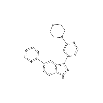 c1ccc(-c2ccc3[nH]nc(-c4ccnc(N5CCOCC5)c4)c3c2)nc1